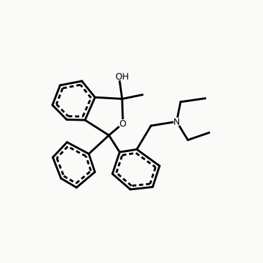 CCN(CC)Cc1ccccc1C1(c2ccccc2)OC(C)(O)c2ccccc21